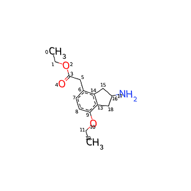 CCOC(=O)Cc1ccc(OCC)c2c1CC(N)C2